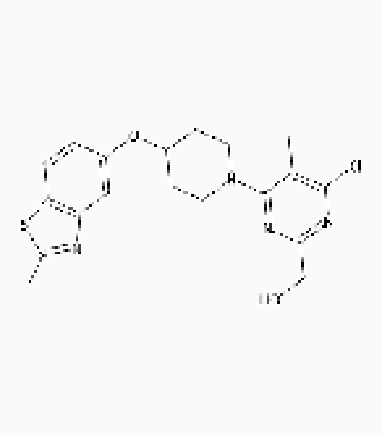 Cc1nc2cc(OC3CCN(c4nc(CO)nc(Cl)c4C)CC3)ccc2s1